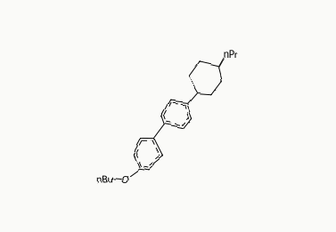 CCCCOc1ccc(-c2ccc(C3CCC(CCC)CC3)cc2)cc1